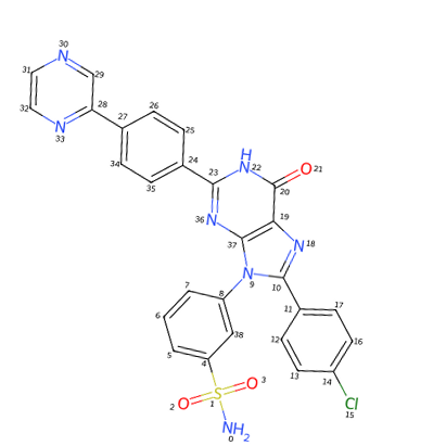 NS(=O)(=O)c1cccc(-n2c(-c3ccc(Cl)cc3)nc3c(=O)[nH]c(-c4ccc(-c5cnccn5)cc4)nc32)c1